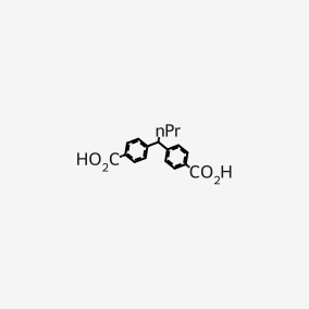 CCCC(c1ccc(C(=O)O)cc1)c1ccc(C(=O)O)cc1